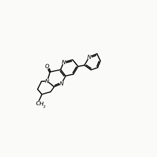 CC1CCn2c(nc3cc(-c4ccccn4)cnc3c2=O)C1